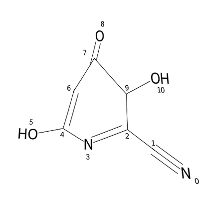 N#CC1=NC(O)=CC(=O)C1O